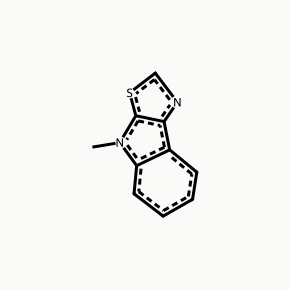 Cn1c2ccccc2c2ncsc21